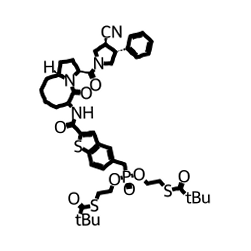 CC(C)(C)C(=O)SCCOP(=O)(Cc1ccc2sc(C(=O)NC3CCCC[C@H]4CC[C@@H](C(=O)N5C[C@@H](C#N)[C@H](c6ccccc6)C5)N4C3=O)cc2c1)OCCSC(=O)C(C)(C)C